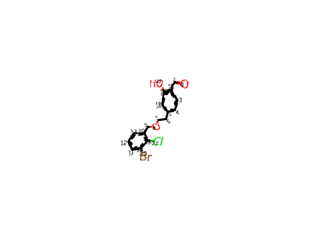 O=Cc1ccc(CCOCc2cccc(Br)c2Cl)cc1O